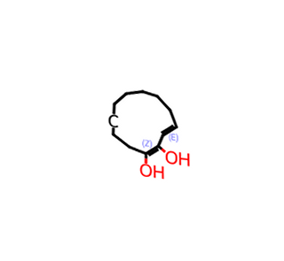 OC1=C(\O)CCCCCCCC\C=C\1